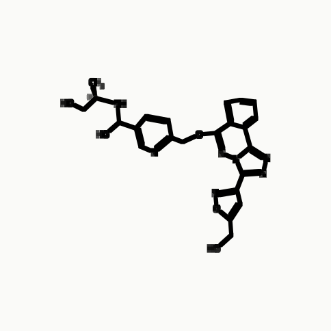 C[C@H](CO)NC(O)c1ccc(COc2nn3c(-c4cc(CO)on4)nnc3c3ccccc23)nc1